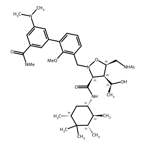 CNC(=O)c1cc(-c2cccc(CN3O[C@@H](CNC(C)=O)[C@@H]([C@H](C)O)[C@H]3C(=O)N[C@H]3C[C@@H](C)C(C)(C)[C@@H](C)[C@@H]3C)c2OC)cc(N(C)C)c1